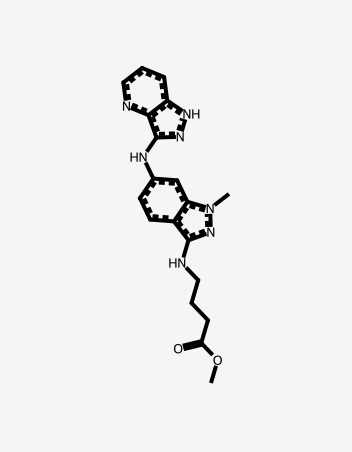 COC(=O)CCCNc1nn(C)c2cc(Nc3n[nH]c4cccnc34)ccc12